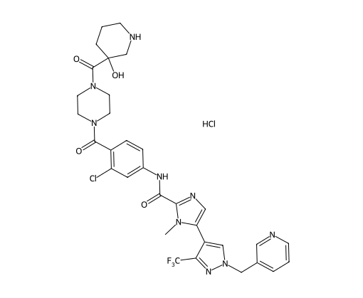 Cl.Cn1c(-c2cn(Cc3cccnc3)nc2C(F)(F)F)cnc1C(=O)Nc1ccc(C(=O)N2CCN(C(=O)C3(O)CCCNC3)CC2)c(Cl)c1